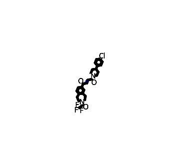 O=C(/C=C/C(=O)N1CCC(c2ccc(Cl)cc2)CC1)c1ccc2c(c1)CCN(C(=O)C(F)(F)F)CC2